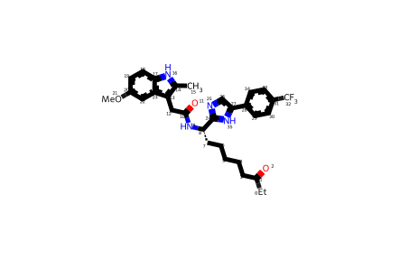 CCC(=O)CCCCC[C@H](NC(=O)Cc1c(C)[nH]c2ccc(OC)cc12)c1ncc(-c2ccc(C(F)(F)F)cc2)[nH]1